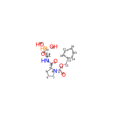 CCNC(=O)[C@@H]1CCCN1C(=O)OCc1ccccc1.O=[PH](O)O